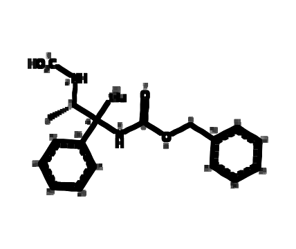 C[C@H](NC(=O)O)C(NC(=O)OCc1ccccc1)(c1ccccc1)C(C)(C)C